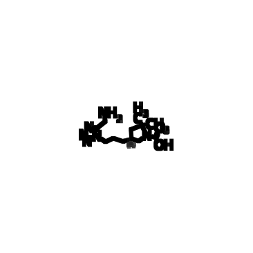 CC1(C)C[C@H](CCCn2nnnc2CN)CN1C(=O)O